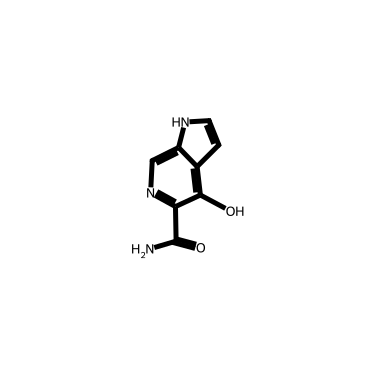 NC(=O)c1ncc2[nH]ccc2c1O